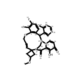 COC1CC2(/C=C/COc3c(ccc(F)c3F)C(c3cncnc3Cl)N3CN2C(=O)c2c(O)c(=O)ccn23)C1